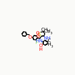 Cc1ccc(O)c2c1NC1=C(C(c3ccc(OCc4ccccc4)cc3F)N2)S(=O)(=O)CC(C)(C)C1